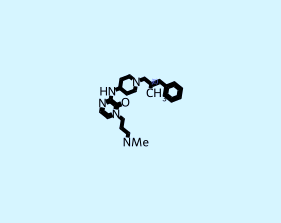 CNCCCn1ccnc(NC2CCN(C/C(C)=C/c3ccccc3)CC2)c1=O